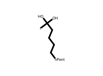 CCCCCCCCCC(O)(O)I